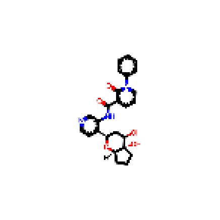 O=C(Nc1cnccc1[C@H]1C[C@@H](O)[C@@]2(O)CCC[C@H]2O1)c1cccn(-c2ccccc2)c1=O